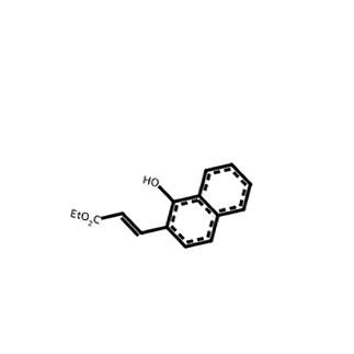 CCOC(=O)C=Cc1ccc2ccccc2c1O